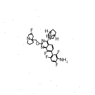 Nc1c(F)cc(F)c(-c2ccc3c(N4C[C@H]5CC[C@@H](C4)N5)nc(OC[C@@]45CCCN4C[C@H](F)C5)nc3c2F)c1F